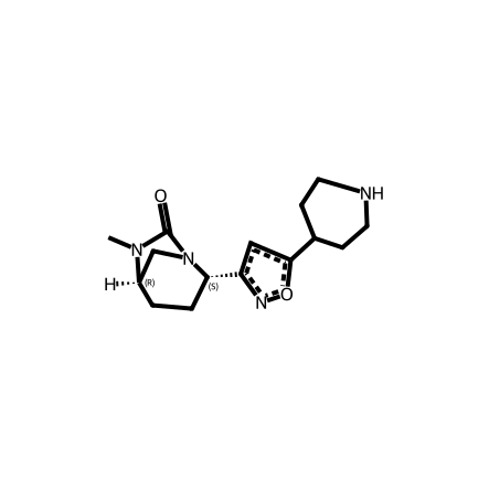 CN1C(=O)N2C[C@H]1CC[C@H]2c1cc(C2CCNCC2)on1